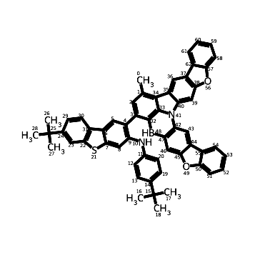 Cc1cc(-c2cc3c(cc2Nc2ccc(C(C)(C)C)cc2)sc2cc(C(C)(C)C)ccc23)c2c3c1c1cc4c(cc1n3-c1cc3c(cc1B2)oc1ccccc13)oc1ccccc14